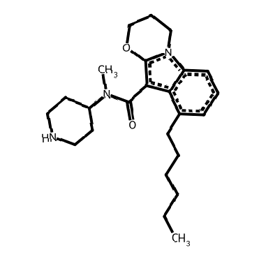 CCCCCCc1cccc2c1c(C(=O)N(C)C1CCNCC1)c1n2CCCO1